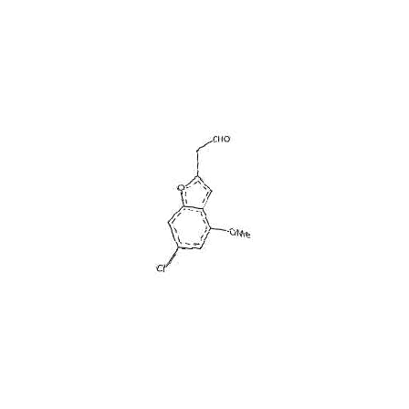 COc1cc(Cl)cc2oc(CC=O)cc12